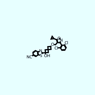 N#Cc1ccc2nc(C3(O)CC4(CC(OCc5c(-c6c(Cl)cccc6Cl)noc5C5CC5)C4)C3)sc2c1